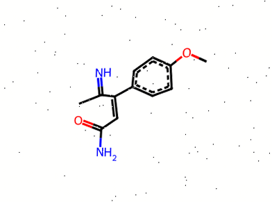 COc1ccc(/C(=C/C(N)=O)C(C)=N)cc1